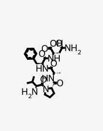 CC(C)[C@H](N)C(=O)N1CCC[C@H]1C(=O)N[C@@H](C)C(=O)N[C@@H](Cc1ccccc1)C(=O)N[C@@H](CC(N)=O)C(=O)O